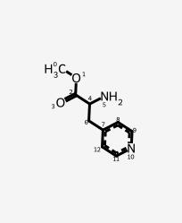 COC(=O)C(N)Cc1ccncc1